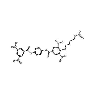 O=C(Oc1ccc(OC(=O)c2cc([N+](=O)[O-])c(OCCCCO[N+](=O)[O-])c([N+](=O)[O-])c2)cc1)c1cc([N+](=O)[O-])cc([N+](=O)[O-])c1